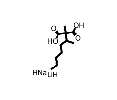 CCCCCC(C)C(C)(C(=O)O)C(=O)O.[LiH].[NaH]